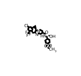 CCS(=O)(=O)c1ccc([C@@H](CO)NC(=O)c2ccn3c(C4CC4)c(Cc4ccc(Cl)cc4C(F)(F)F)nc3c2)cc1